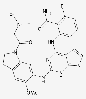 CCN(C)CC(=O)N1CCc2cc(OC)c(Nc3nc(Nc4cccc(F)c4C(N)=O)c4ccnc-4[nH]3)cc21